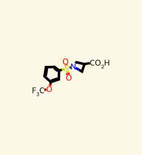 O=C(O)C1CN(S(=O)(=O)c2cccc(OC(F)(F)F)c2)C1